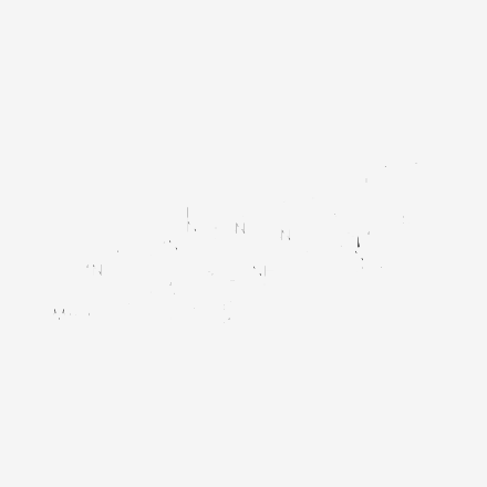 COc1cc(C2(c3n[nH]c4nc(N5CCC6(CC5)Cc5ccccc5[C@H]6N)[nH]c(=O)c34)CC2)ccn1